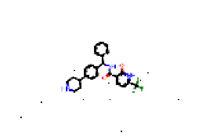 O=C(NC(c1ccccc1)c1ccc(C2CCNCC2)cc1)c1ccc(C(F)(F)F)[nH]c1=O